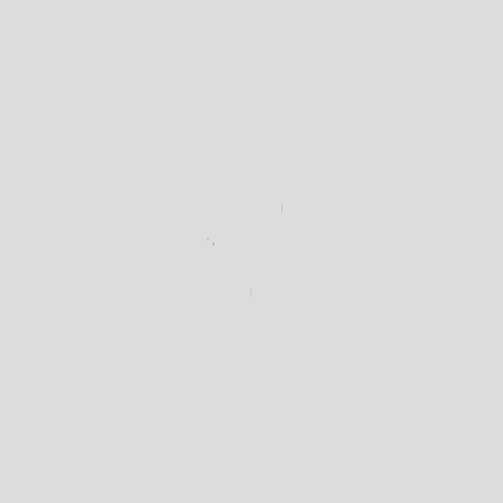 CN(C)S(=O)(=O)c1c(O)cccc1Cl